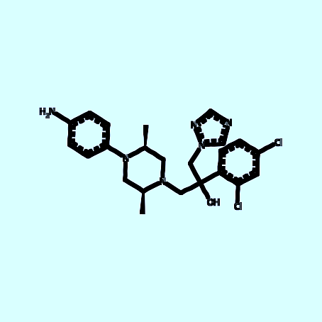 C[C@H]1CN(c2ccc(N)cc2)[C@@H](C)CN1CC(O)(Cn1cncn1)c1ccc(Cl)cc1Cl